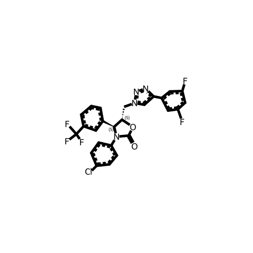 O=C1O[C@@H](Cn2cc(-c3cc(F)cc(F)c3)nn2)[C@H](c2cccc(C(F)(F)F)c2)N1c1ccc(Cl)cc1